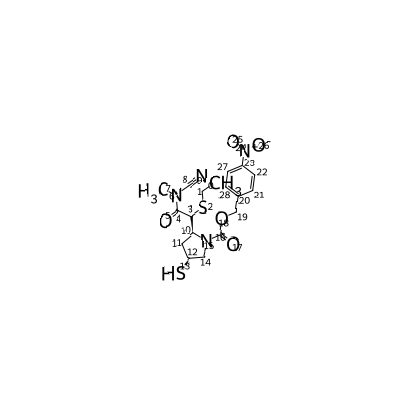 CCSC(C(=O)N(C)C#N)[C@@H]1C[C@H](S)CN1C(=O)OCc1ccc([N+](=O)[O-])cc1